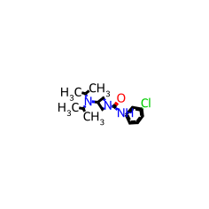 CC(C)N(C(C)C)C1CN(C(=O)Nc2cccc(Cl)c2)C1